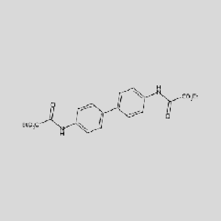 CCOC(=O)C(=O)Nc1ccc(-c2ccc(NC(=O)C(=O)OCC)cc2)cc1